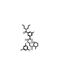 CCCN(CCC)C(=O)c1cc(C)cc(C(=O)N[C@@H](Cc2cc(F)cc(F)c2)[C@H](O)CNC2CCCCC2C)c1